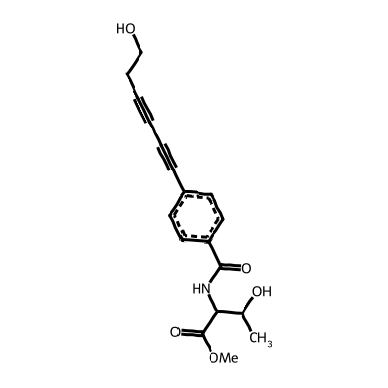 COC(=O)C(NC(=O)c1ccc(C#CC#CCCO)cc1)C(C)O